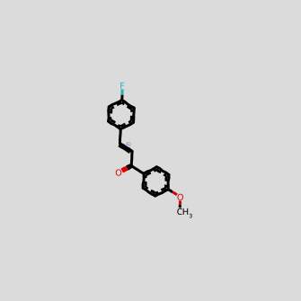 COc1ccc(C(=O)/C=C/c2ccc(F)cc2)cc1